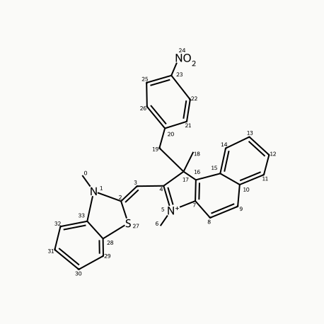 CN1/C(=C/C2=[N+](C)c3ccc4ccccc4c3C2(C)Cc2ccc([N+](=O)[O-])cc2)Sc2ccccc21